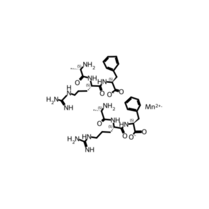 C[C@H](N)C(=O)N[C@@H](CCCNC(=N)N)C(=O)N[C@@H](Cc1ccccc1)C(=O)[O-].C[C@H](N)C(=O)N[C@@H](CCCNC(=N)N)C(=O)N[C@@H](Cc1ccccc1)C(=O)[O-].[Mn+2]